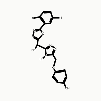 CCn1c(COc2ccc(O)cc2)nnc1C(S)c1nnc(-c2cc(Cl)ccc2F)o1